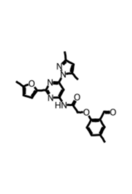 Cc1ccc(OCC(=O)Nc2cc(-n3nc(C)cc3C)nc(-c3ccc(C)o3)n2)c(C=O)c1